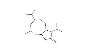 CC1CC(C(C)C)CCC2C(CC(=S)N2C(C)C)C1